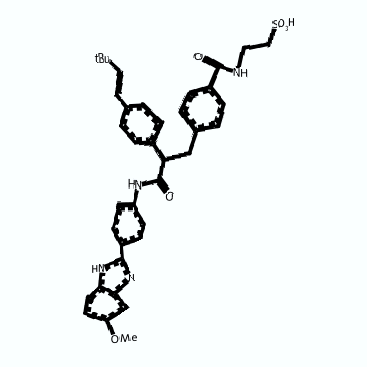 COc1ccc2[nH]c(-c3ccc(NC(=O)C(Cc4ccc(C(=O)NCCS(=O)(=O)O)cc4)c4ccc(/C=C/C(C)(C)C)cc4)cc3)nc2c1